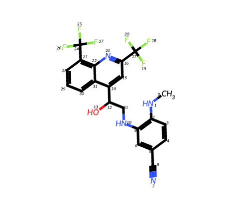 CNc1ccc(C#N)cc1NCC(O)c1cc(C(F)(F)F)nc2c(C(F)(F)F)cccc12